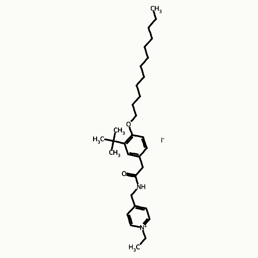 CCCCCCCCCCCCOc1ccc(CC(=O)NCc2cc[n+](CC)cc2)cc1C(C)(C)C.[I-]